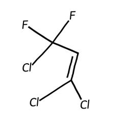 FC(F)(Cl)C=C(Cl)Cl